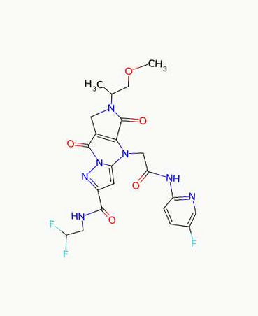 COCC(C)N1Cc2c(n(CC(=O)Nc3ccc(F)cn3)c3cc(C(=O)NCC(F)F)nn3c2=O)C1=O